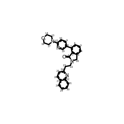 O=C1c2c(cccc2-c2ccc(N3CCOCC3)nc2)CN1CCc1ccc2ccccc2n1